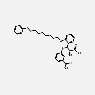 O=C(O)c1cccc(SC(c2ccccc2OCCCCCCCCCc2ccccc2)C(O)C(=O)O)c1